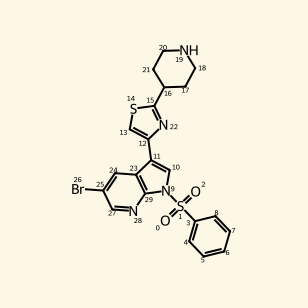 O=S(=O)(c1ccccc1)n1cc(-c2csc(C3CCNCC3)n2)c2cc(Br)cnc21